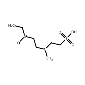 CC[S+]([O-])CCN(C)CCS(=O)(=O)O